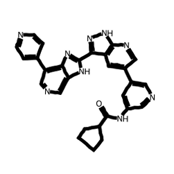 O=C(Nc1cncc(-c2cnc3[nH]nc(-c4nc5c(-c6ccncc6)cncc5[nH]4)c3c2)c1)C1CCCC1